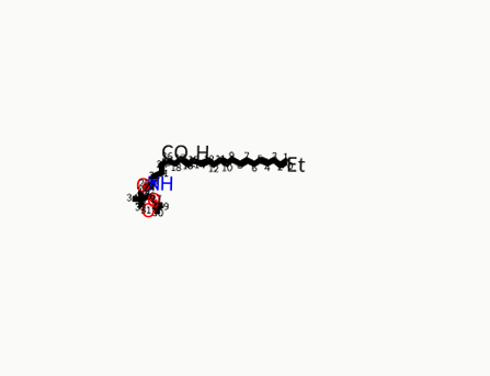 CCC=CCC=CCC=CCC=CCC=CCC=CCC(CCCNC(=O)[C@@H]1OC(C)(C)OCC1(C)C)C(=O)O